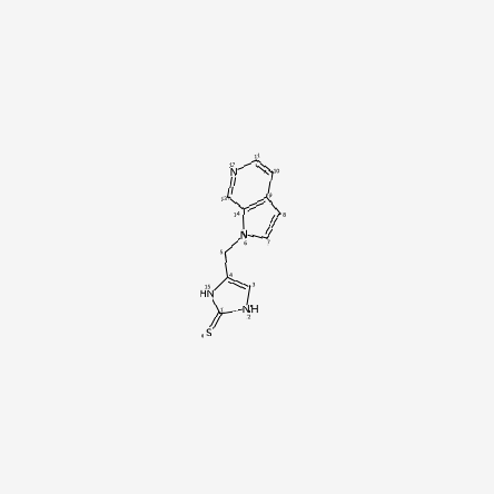 S=c1[nH]cc(Cn2ccc3ccncc32)[nH]1